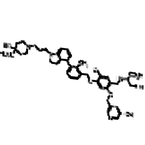 Cc1c(COc2cc(OCc3cncc(C#N)c3)c(CNC(CO)C(=O)O)cc2Cl)cccc1-c1cccc2c1CCN2CCCN1CCC(O)(C(=O)O)CC1